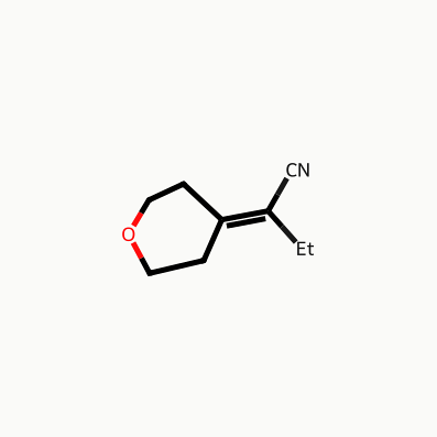 CCC(C#N)=C1CCOCC1